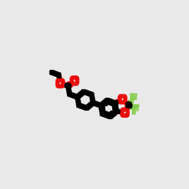 CCOC(=O)CC1CCC(c2ccc3c(c2)OC(F)(F)O3)CC1